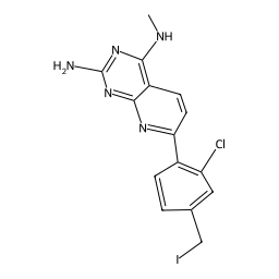 CNc1nc(N)nc2nc(-c3ccc(CI)cc3Cl)ccc12